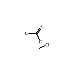 CCl.S=C(Cl)Cl